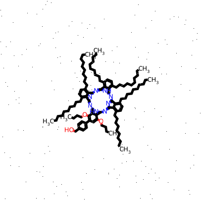 CCCCCCCCCCc1ccc(CCCCCCCCCC)c2c1-c1nc-2nc2[nH]c(nc3nc(nc4[nH]c(n1)c1c(CCCCCCCCCC)ccc(CCCCCCCCCC)c41)-c1c(CCCCCCCCCC)ccc(CCCCCCCCCC)c1-3)c1c(OCCCC)c(-c3ccc(CO)cc3)cc(OCCCC)c21